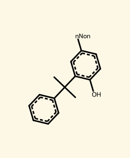 CCCCCCCCCc1ccc(O)c(C(C)(C)c2ccccc2)c1